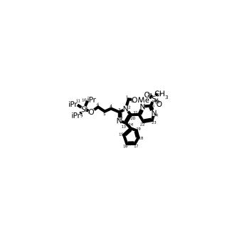 COCn1c(CCCO[Si](C(C)C)(C(C)C)C(C)C)nc(-c2ccccc2)c1-c1ccnc(S(C)(=O)=O)n1